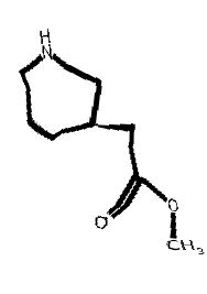 COC(=O)C[C@H]1CCCNC1